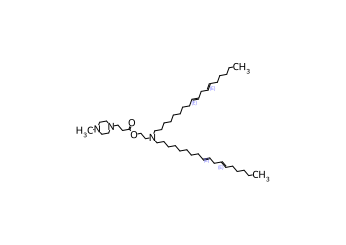 CCCCC/C=C/C/C=C/CCCCCCCCN(CCCCCCCC/C=C/C/C=C/CCCCC)CCOC(=O)CCN1CCN(C)CC1